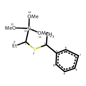 CCC(SC(C)c1ccccc1)[Si](OC)(OC)OC